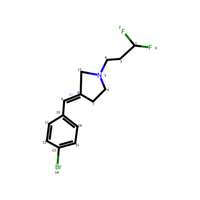 FC(F)CCN1CC/C(=C\c2ccc(Br)cc2)C1